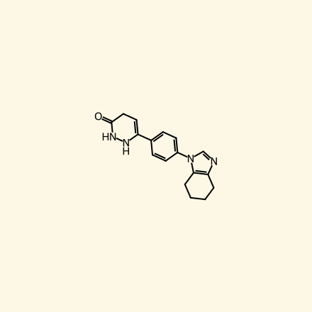 O=C1CC=C(c2ccc(-n3cnc4c3CCCC4)cc2)NN1